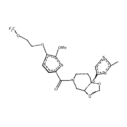 COc1nc(C(=O)N2CC[C@]3(c4csc(C)n4)OCOC3C2)ccc1OCCOC(F)(F)F